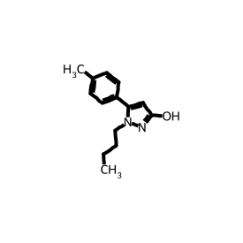 CCCCn1nc(O)cc1-c1ccc(C)cc1